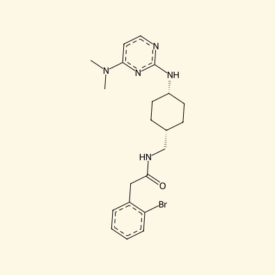 CN(C)c1ccnc(N[C@H]2CC[C@@H](CNC(=O)Cc3ccccc3Br)CC2)n1